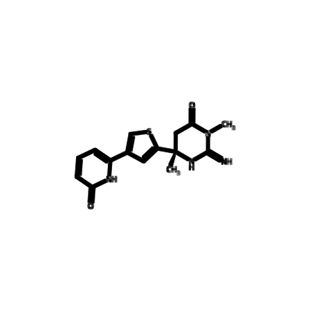 CN1C(=N)N[C@](C)(c2cc(-c3cccc(=O)[nH]3)cs2)CC1=O